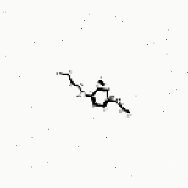 C=C.CCCCOc1ccc(OCC)cc1